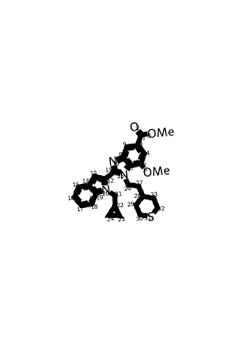 COC(=O)c1cc(OC)c2c(c1)nc(-c1cc3ccccc3n1CC1CC1)n2CCC1CCSCC1